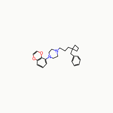 C1=COc2c(cccc2N2CCN(CCCC3(Cc4ccccc4)CCC3)CC2)O1